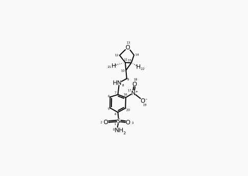 NS(=O)(=O)c1ccc(NCC2[C@H]3COC[C@@H]23)c([N+](=O)[O-])c1